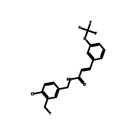 O=C(/C=C/c1cccc(OC(F)(F)F)c1)NCc1ccc(Cl)c(CF)c1